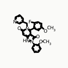 COc1ccc(F)c(-c2c3c(=O)n(-c4ccccc4OC)[nH]c3cc(=O)n2Cc2cccnc2)c1